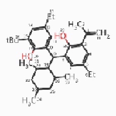 C=C(C)c1cc(CC)cc(C(c2cc(CC)cc(C(C)(C)C)c2O)C2C(C)CC(C)CC2C)c1O